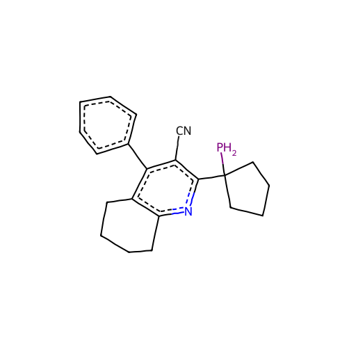 N#Cc1c(C2(P)CCCC2)nc2c(c1-c1ccccc1)CCCC2